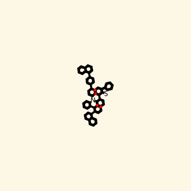 c1ccc(-c2cccc3ccccc23)c(-c2ccccc2N(c2ccc(-c3ccc(-c4cccc5ccccc45)cc3)cc2)c2ccccc2-c2cccc3c2sc2ccccc23)c1